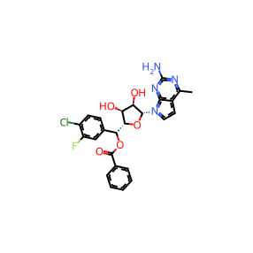 Cc1nc(N)nc2c1ccn2[C@@H]1O[C@H](C(OC(=O)c2ccccc2)c2ccc(Cl)c(F)c2)[C@@H](O)[C@H]1O